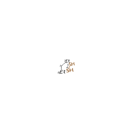 CCCCC.SS